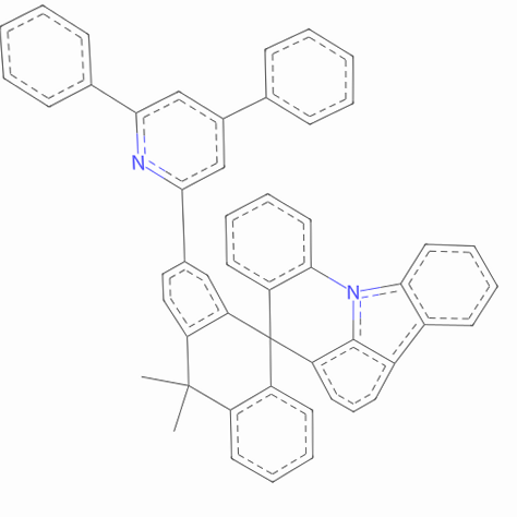 CC1(C)c2ccccc2C2(c3ccccc3-n3c4ccccc4c4cccc2c43)c2cc(-c3cc(-c4ccccc4)cc(-c4ccccc4)n3)ccc21